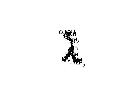 CC1=NN=C(c2ccc(C(=O)NCCN(CC(=O)NCCCCCC(=O)N(C)Cc3ccc(C(=O)c4cc(O)c(O)c([N+](=O)[O-])c4)cc3)C(=O)c3ccc(/N=N/c4ccc(C5(C(F)(F)F)N=N5)cc4)cc3)cc2)NN1